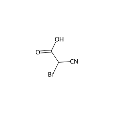 N#CC(Br)C(=O)O